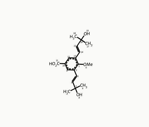 COc1c(C=CC(C)(C)O)cc(C(=O)O)cc1C=CC(C)(C)O